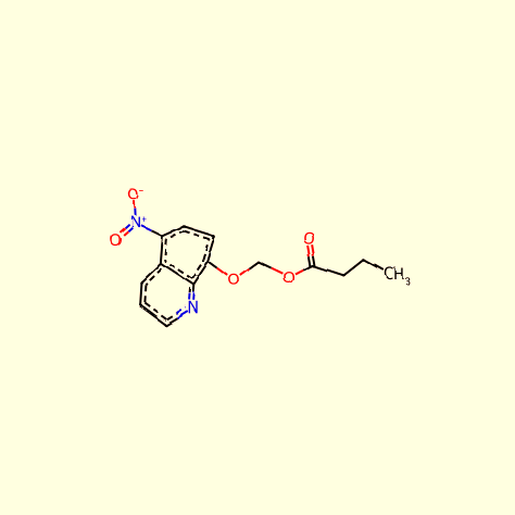 CCCC(=O)OCOc1ccc([N+](=O)[O-])c2cccnc12